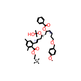 COc1ccc(COCC/C=C\C(C[C@H](C/C=C/c2cc(C)cc(C)c2C(=O)OCC[Si](C)(C)C)OC(C)(C)O)OC(=O)c2ccccc2)cc1